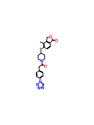 Cc1c(SC2CCN(C(=O)Cc3ccc(-n4cnnn4)cc3)CC2)ccc2c1COC2=O